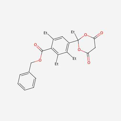 CCc1cc(C2(CC)OC(=O)CC(=O)O2)c(CC)c(CC)c1C(=O)OCc1ccccc1